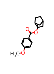 COc1ccc(C(=O)OC2=C3CCC(C3)C2)cc1